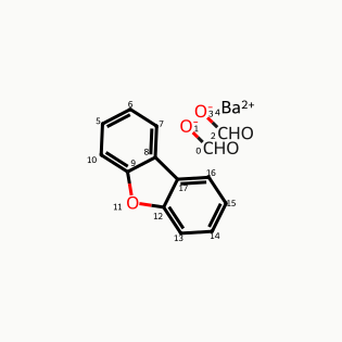 O=C[O-].O=C[O-].[Ba+2].c1ccc2c(c1)oc1ccccc12